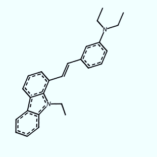 CCN(CC)c1cccc(C=Cc2cccc3c4ccccc4n(CC)c23)c1